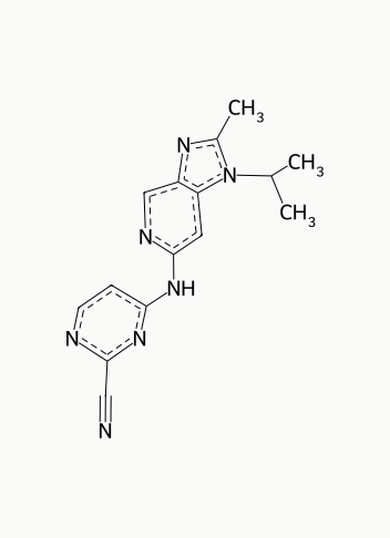 Cc1nc2cnc(Nc3ccnc(C#N)n3)cc2n1C(C)C